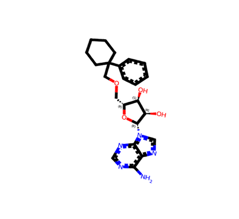 Nc1ncnc2c1ncn2[C@@H]1O[C@H](COCC2(c3ccccc3)CCCCC2)[C@@H](O)[C@H]1O